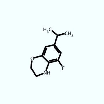 CC(C)c1cc(F)c2c(c1)OCCN2